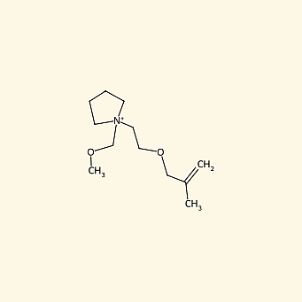 C=C(C)COCC[N+]1(COC)CCCC1